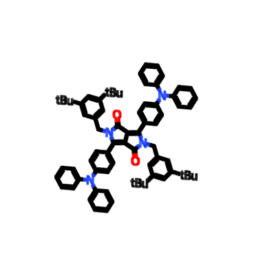 CC(C)(C)c1cc(CN2C(=O)C3=C(c4ccc(N(c5ccccc5)c5ccccc5)cc4)N(Cc4cc(C(C)(C)C)cc(C(C)(C)C)c4)C(=O)C3=C2c2ccc(N(c3ccccc3)c3ccccc3)cc2)cc(C(C)(C)C)c1